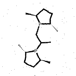 CC(CP1[C@@H](C)CC[C@@H]1C)P1[C@@H](C)CC[C@@H]1C